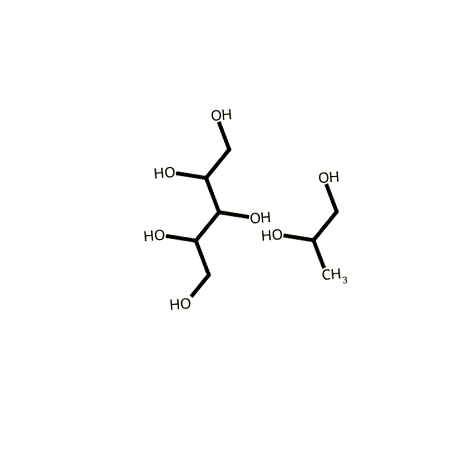 CC(O)CO.OCC(O)C(O)C(O)CO